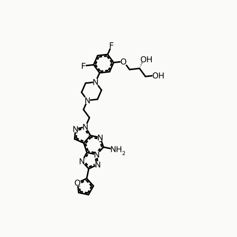 Nc1nc2c(cnn2CCN2CCN(c3cc(OC[C@H](O)CO)c(F)cc3F)CC2)c2nc(-c3ccco3)nn12